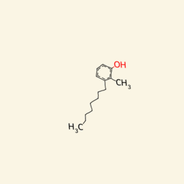 CCCCCCCCc1cccc(O)c1C